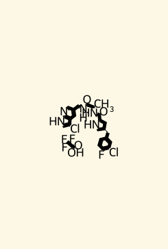 C[C@H](NC(=O)C1C[C@H](Cc2ccc(F)c(Cl)c2)CN1)C(=O)NCc1cnc2[nH]cc(Cl)c2c1.O=C(O)C(F)(F)F